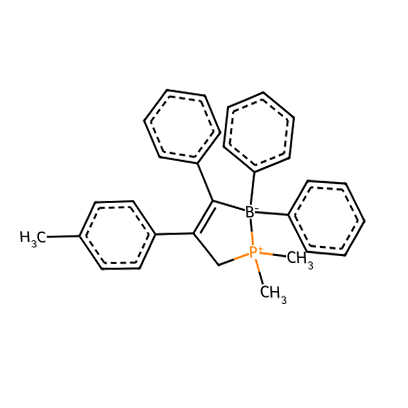 Cc1ccc(C2=C(c3ccccc3)[B-](c3ccccc3)(c3ccccc3)[P+](C)(C)C2)cc1